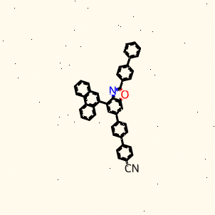 N#Cc1ccc(-c2ccc(-c3cc(-c4cc5ccccc5c5ccccc45)c4nc(-c5ccc(-c6ccccc6)cc5)oc4c3)cc2)cc1